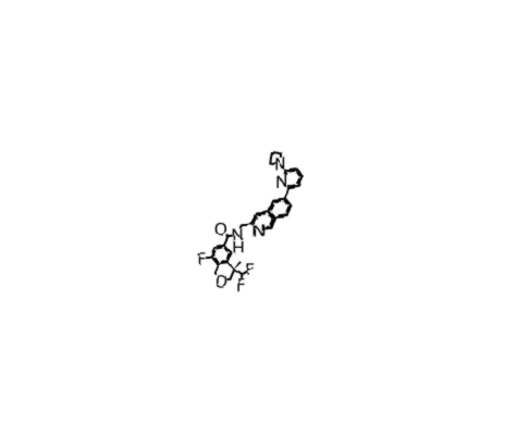 C[C@@]1(C(F)F)COCc2c(F)cc(C(=O)NCc3cc4cc(-c5cccc(N6CCC6)n5)ccc4cn3)cc21